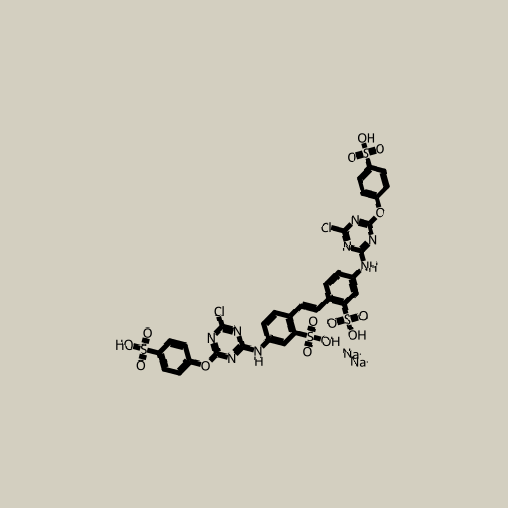 O=S(=O)(O)c1ccc(Oc2nc(Cl)nc(Nc3ccc(C=Cc4ccc(Nc5nc(Cl)nc(Oc6ccc(S(=O)(=O)O)cc6)n5)cc4S(=O)(=O)O)c(S(=O)(=O)O)c3)n2)cc1.[Na].[Na]